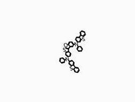 c1ccc(N(c2ccc3c(c2)sc2ccccc23)c2ccc3c(c2)sc2oc4ccc(N(c5ccccc5)c5ccc6c(c5)sc5ccccc56)cc4c23)cc1